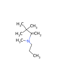 C=C(N(C)CCC)C(C)(C)C